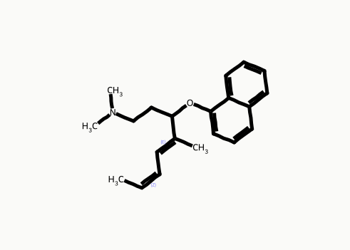 C/C=C\C=C(/C)C(CCN(C)C)Oc1cccc2ccccc12